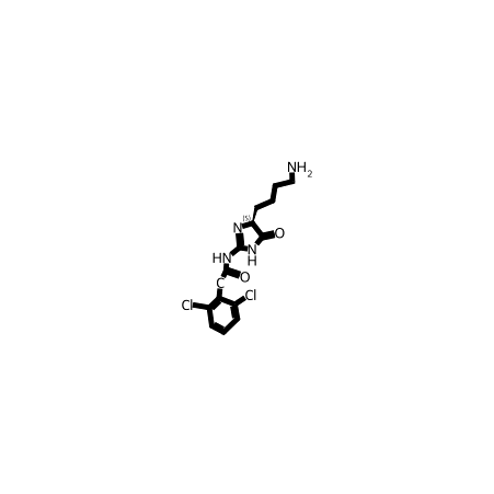 NCCCC[C@@H]1N=C(NC(=O)Cc2c(Cl)cccc2Cl)NC1=O